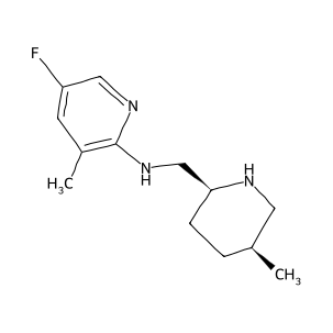 Cc1cc(F)cnc1NC[C@@H]1CC[C@H](C)CN1